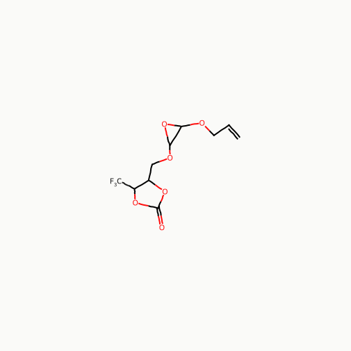 C=CCOC1OC1OCC1OC(=O)OC1C(F)(F)F